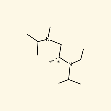 CCN(C(C)C)[C@H](C)CN(C)C(C)C